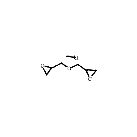 C(OCC1CO1)C1CO1.CCC